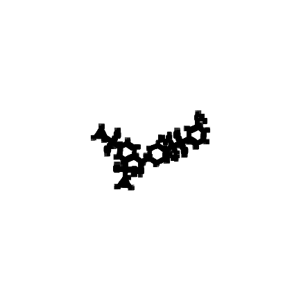 CC(C)(C1CCN(C(=O)c2ccc(S(=O)(=O)C3CC3)cc2S(=O)(=O)C2CC2)CC1)S(=O)(=O)c1cccc(C(F)(F)F)c1